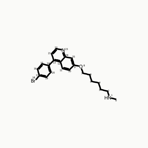 CNCCCCCCOc1ccc2c(-c3ccc(Br)cc3)ccnc2c1